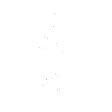 Cn1nc(C(=O)N2CCC(C(N)=O)CC2)c2ccc(Nc3n[nH]c4cccnc34)cc21